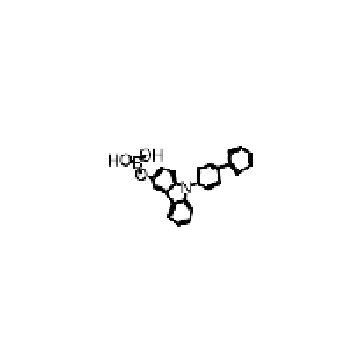 OB(O)Oc1ccc2c(c1)c1ccccc1n2-c1ccc(-c2ccccc2)cc1